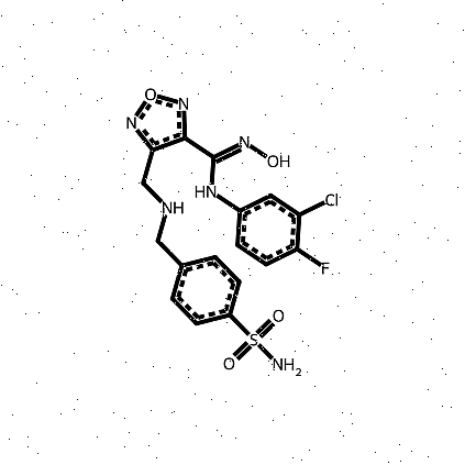 NS(=O)(=O)c1ccc(CNCc2nonc2/C(=N/O)Nc2ccc(F)c(Cl)c2)cc1